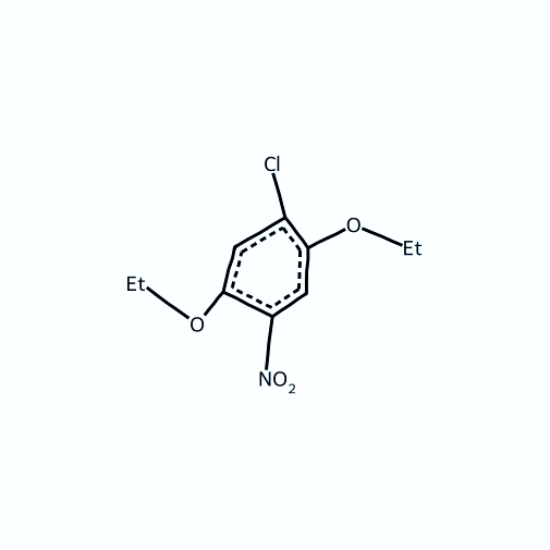 CCOc1cc([N+](=O)[O-])c(OCC)cc1Cl